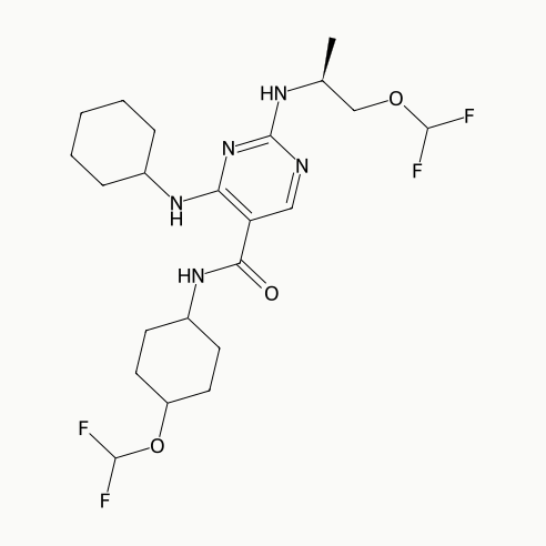 C[C@@H](COC(F)F)Nc1ncc(C(=O)NC2CCC(OC(F)F)CC2)c(NC2CCCCC2)n1